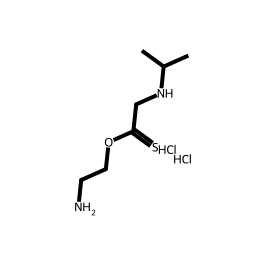 CC(C)NCC(=S)OCCN.Cl.Cl